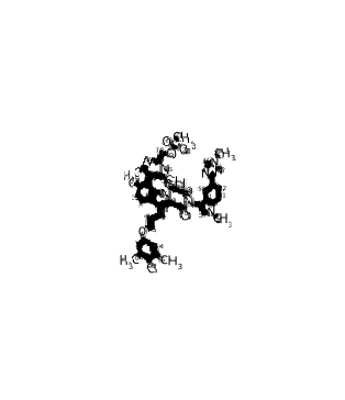 Cc1cc(OCCCc2c3n(c4c(-c5c(C)nc(COS(C)(=O)=O)nc5C)c(Cl)ccc24)C(C)CN(c2cn(C)c4ccc(-c5ncn(C)n5)cc24)C3=O)cc(C)c1Cl